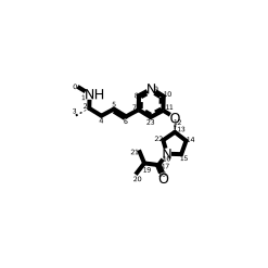 CN[C@@H](C)CC=Cc1cncc(O[C@@H]2CCN(C(=O)C(C)C)C2)c1